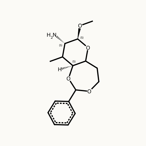 CO[C@H]1OC2CCOC(c3ccccc3)O[C@H]2C(C)[C@@H]1N